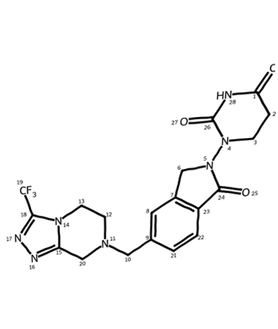 O=C1CCN(N2Cc3cc(CN4CCn5c(nnc5C(F)(F)F)C4)ccc3C2=O)C(=O)N1